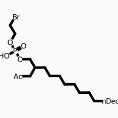 CCCCCCCCCCCCCCCCCCC(COP(=O)(O)OCCBr)CC(C)=O